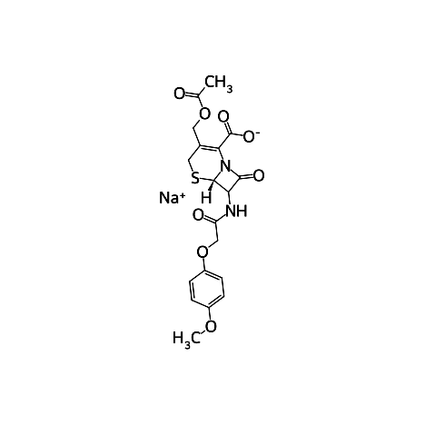 COc1ccc(OCC(=O)NC2C(=O)N3C(C(=O)[O-])=C(COC(C)=O)CS[C@@H]23)cc1.[Na+]